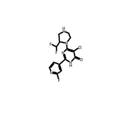 O=c1[nH]c(-c2ccnc(F)c2)nc(N2CCNCC2C(F)F)c1Cl